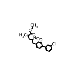 CCOC(=O)[C@@H](C)CC(Cc1ccc(-c2cccc(Cl)c2)cc1)N=C=O